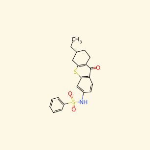 CCC1CCc2c(sc3cc(NS(=O)(=O)c4ccccc4)ccc3c2=O)C1